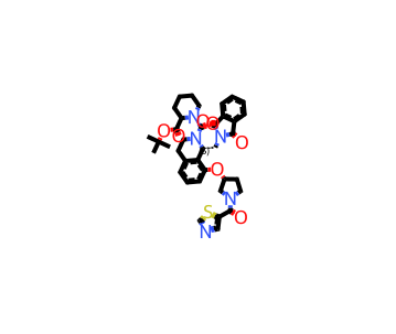 CC(C)(C)OC(=O)C1CCCCN1C(=O)N1CCc2cccc(OC3CCN(C(=O)c4cncs4)C3)c2[C@H]1CN1C(=O)c2ccccc2C1=O